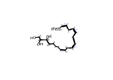 CCCCC/C=C\C/C=C\C/C=C\C/C=C\CCCCC(O)C(O)CO